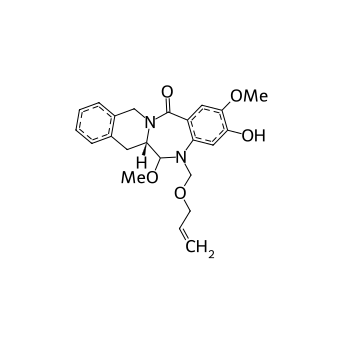 C=CCOCN1c2cc(O)c(OC)cc2C(=O)N2Cc3ccccc3C[C@H]2C1OC